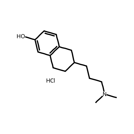 CN(C)CCCC1CCc2cc(O)ccc2C1.Cl